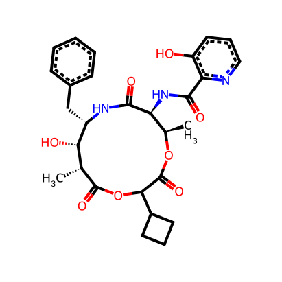 C[C@H]1OC(=O)C(C2CCC2)OC(=O)[C@H](C)[C@H](O)[C@H](Cc2ccccc2)NC(=O)[C@H]1NC(=O)c1ncccc1O